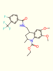 CCOC(=O)N1c2cc(OC)c(OC)cc2C(CNC(=O)c2ccc(F)c(C(F)(F)F)c2)CC1C